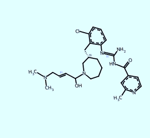 Cc1cc(C(=O)N/C(N)=N/c2cccc(Cl)c2C[C@@H]2CCCCN(C(O)/C=C/CN(C)C)C2)ccn1